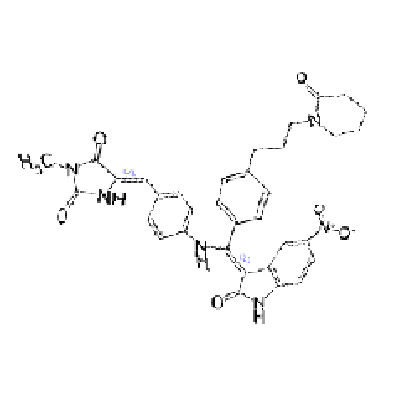 CN1C(=O)N/C(=C\c2ccc(N/C(=C3\C(=O)Nc4ccc([N+](=O)[O-])cc43)c3ccc(CCCN4CCCCC4=O)cc3)cc2)C1=O